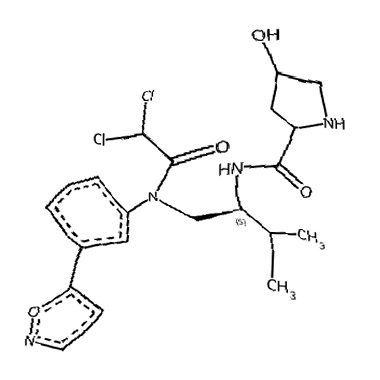 CC(C)[C@@H](CN(C(=O)C(Cl)Cl)c1cccc(-c2ccno2)c1)NC(=O)C1CC(O)CN1